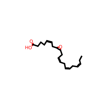 CC/C=C\C/C=C\C/C=C\CC1OC1C/C=C\CCCC(=O)O